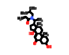 C=CC(=O)N(CC(OC)OC)C(C)C1CC[C@@]2(O)C3=CC(=O)C4CC(O)CCC4(C)C3CC[C@]12C